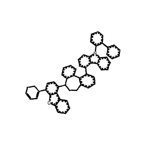 C1=CCCC(c2ccc(C3CCc4cccc(-c5cccc6c5c5ccccc5n6-c5ccccc5-c5ccccc5)c4-c4ccccc43)c3c2oc2ccccc23)=C1